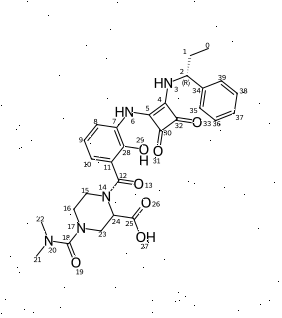 CC[C@@H](Nc1c(Nc2cccc(C(=O)N3CCN(C(=O)N(C)C)CC3C(=O)O)c2O)c(=O)c1=O)c1ccccc1